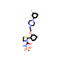 CS(=O)(=O)NC(=O)N1CCSC1c1ccccc1OCCN1CCN(c2cccc(F)c2)CC1